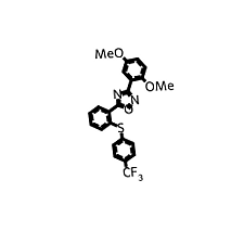 COc1ccc(OC)c(-c2noc(-c3ccccc3Sc3ccc(C(F)(F)F)cc3)n2)c1